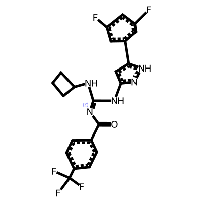 O=C(/N=C(\Nc1cc(-c2cc(F)cc(F)c2)[nH]n1)NC1CCC1)c1ccc(C(F)(F)F)cc1